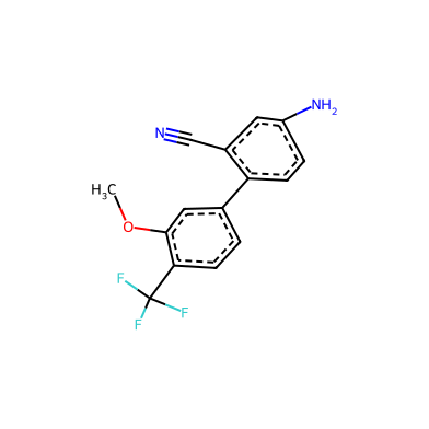 COc1cc(-c2ccc(N)cc2C#N)ccc1C(F)(F)F